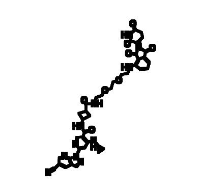 N#Cc1cnc2c(cnn2-c2cc(NC3CC3)c(C(=O)NC3CC(C(=O)NCCOCCOCCNc4cccc5c4C(=O)N([C@@H]4CCC(=O)NC4=O)C5=O)C3)cn2)c1